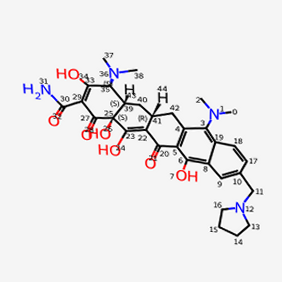 CN(C)c1c2c(c(O)c3cc(CN4CCCC4)ccc13)C(=O)C1=C(O)[C@]3(O)C(=O)C(C(N)=O)=C(O)[C@@H](N(C)C)[C@@H]3C[C@@H]1C2